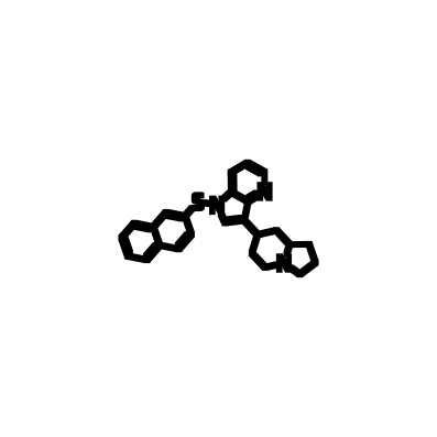 c1ccc2cc(Sn3cc(C4CCN5CCCC5C4)c4ncccc43)ccc2c1